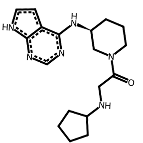 O=C(CNC1CCCC1)N1CCC[C@H](Nc2ncnc3[nH]ccc23)C1